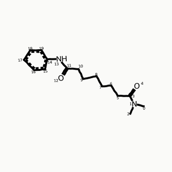 CN(C)C(=O)CCCCCCC(=O)Nc1ccccc1